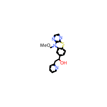 COCN1c2cc(C(O)Cc3ccccn3)ccc2Sc2nccnc21